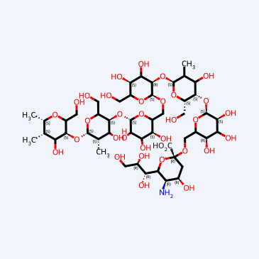 CC1C(O)[C@H](O[C@@H]2OC(CO[C@]3(C(=O)O)C[C@@H](O)[C@@H](N)C([C@H](O)[C@H](O)CO)O3)[C@H](O)C(O)[C@@H]2O)[C@H](CO)O[C@H]1O[C@@H]1C(O)[C@H](O)C(CO)O[C@@H]1OCC1O[C@@H](O[C@@H]2C(CO)O[C@@H](O[C@@H]3C(CO)O[C@@H](C)[C@@H](C)C3O)[C@@H](C)C2O)C(O)C(O)[C@@H]1O